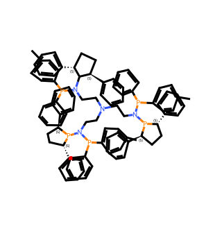 Cc1ccc(P(c2ccccc2)N(CCN(CCN(P(c2ccccc2)c2ccc(C)cc2)P2[C@H](c3ccccc3)CC[C@H]2c2ccccc2)CCN(P(c2ccccc2)c2ccc(C)cc2)P2[C@H](c3ccccc3)CC[C@H]2c2ccccc2)C2[C@H](c3ccccc3)CC[C@H]2c2ccccc2)cc1